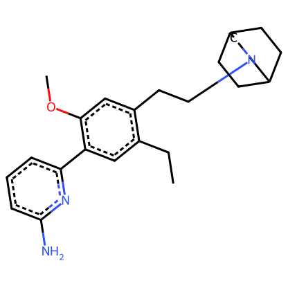 CCc1cc(-c2cccc(N)n2)c(OC)cc1CCN1CC2CCC(CC2)C1